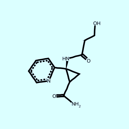 NC(=O)C1C[C@@]1(NC(=O)[CH]CO)c1ccccn1